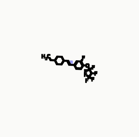 CCC1CCC(/C=C/c2ccc(OC(F)(F)C(F)C(F)(F)F)c(F)c2)CC1